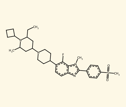 CCC1CC(N2CCC(c3ccc4nc(-c5ccc(S(C)(=O)=O)cc5)n(C)c4c3F)CC2)CC(C)N1C1CCC1